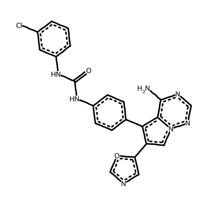 Nc1ncnn2cc(-c3cnco3)c(-c3ccc(NC(=O)Nc4cccc(Cl)c4)cc3)c12